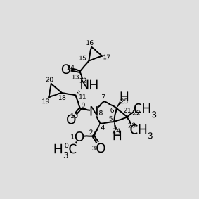 COC(=O)[C@@H]1[C@@H]2[C@H](CN1C(=O)[C@@H](NC(=O)C1CC1)C1CC1)C2(C)C